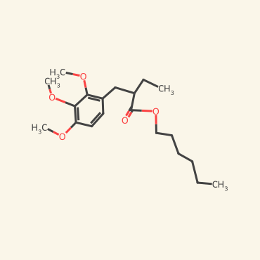 CCCCCCOC(=O)C(CC)Cc1ccc(OC)c(OC)c1OC